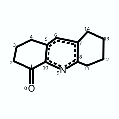 O=C1CCCc2cc3c(nc21)CCCC3